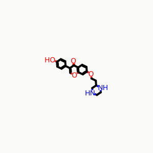 O=c1c(-c2ccc(O)cc2)coc2cc(OCCC3CNCCN3)ccc12